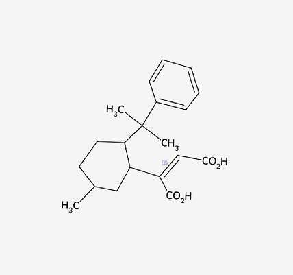 CC1CCC(C(C)(C)c2ccccc2)C(/C(=C/C(=O)O)C(=O)O)C1